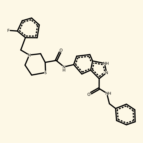 O=C(NCc1ccccc1)c1n[nH]c2ccc(NC(=O)C3CN(Cc4ccccc4F)CCS3)cc12